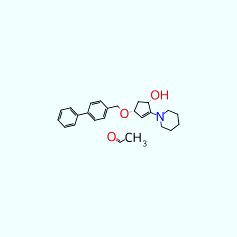 CC=O.O[C@H]1C[C@@H](OCc2ccc(-c3ccccc3)cc2)C=C1N1CCCCC1